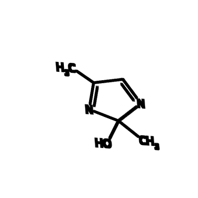 CC1=NC(C)(O)N=C1